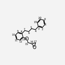 c1ccc(CCCCc2ccccc2OCC2CO2)cc1